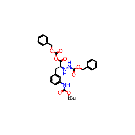 CC(C)(C)OC(=O)Nc1cccc(C[C@H](NNC(=O)OCc2ccccc2)C(=O)OC(=O)OCc2ccccc2)c1